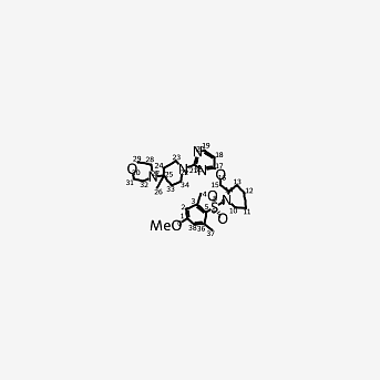 COc1cc(C)c(S(=O)(=O)N2CCCCC2COc2ccnc(N3CCC(C)(N4CCOCC4)CC3)n2)c(C)c1